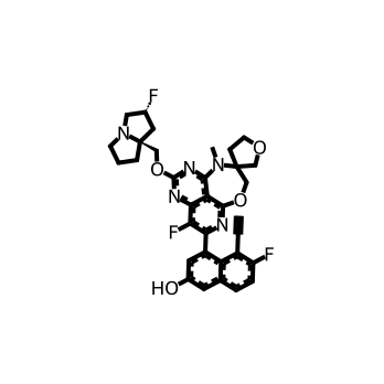 C#Cc1c(F)ccc2cc(O)cc(-c3nc4c5c(nc(OC[C@@]67CCCN6C[C@H](F)C7)nc5c3F)N(C)C3(CCOC3)CO4)c12